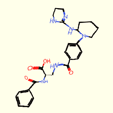 O=C(NC[C@H](NC(=O)c1ccccc1)C(=O)O)c1ccc(N2CCCCC2NC2=NCCCN2)cc1